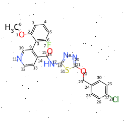 COc1cccc(F)c1-c1cnccc1C(=O)Nc1nnc(OCc2ccc(Cl)cc2)s1